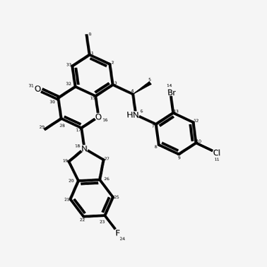 Cc1cc([C@@H](C)Nc2ccc(Cl)cc2Br)c2oc(N3Cc4ccc(F)cc4C3)c(C)c(=O)c2c1